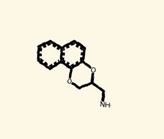 [NH]CC1COc2c(ccc3ccccc23)O1